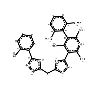 CCCCc1nc(O)c(-c2nnc(Cc3nnc(-c4ccccc4Cl)o3)o2)c(O)c1-c1c(OC)cccc1OC